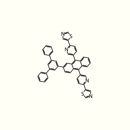 c1ccc(-c2cc(-c3ccccc3)cc(-c3ccc4c(-c5ccc(-c6cncs6)nc5)c5ccccc5c(-c5ccc(-c6cncs6)nc5)c4c3)c2)cc1